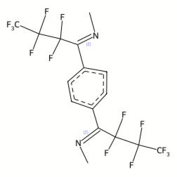 C/N=C(/c1ccc(/C(=N/C)C(F)(F)C(F)(F)C(F)(F)F)cc1)C(F)(F)C(F)(F)C(F)(F)F